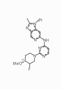 CO[C@H]1CCN(c2nccc(Nc3cc4c(cn3)nc(C)n4C(C)C)n2)CC1F